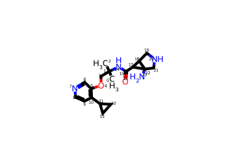 CC(C)(COc1cnccc1C1CC1)NC(=O)C1C2CNCC21N